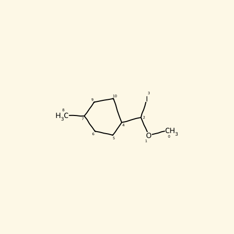 COC(I)C1CCC(C)CC1